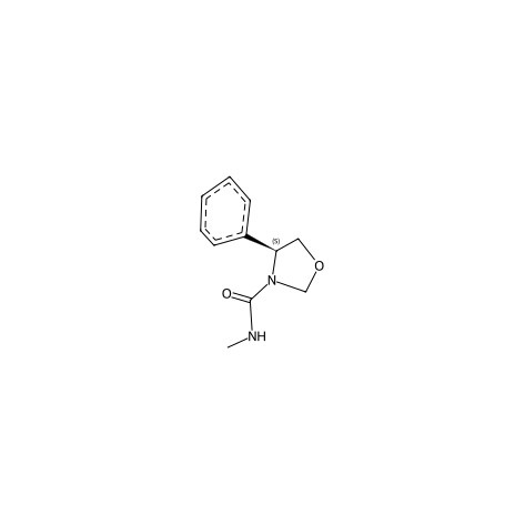 CNC(=O)N1COC[C@@H]1c1ccccc1